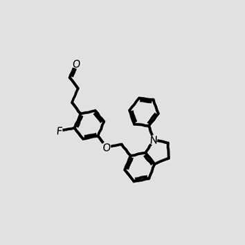 O=CCCc1ccc(OCc2cccc3c2N(c2ccccc2)CC3)cc1F